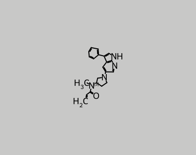 C=CC(=O)N(C)[C@H]1CCN(c2cnc3[nH]cc(-c4ccccc4)c3c2)C1